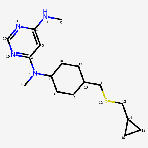 CNc1cc(N(C)C2CCC(CSCC3CC3)CC2)ncn1